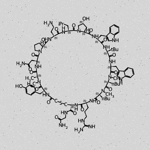 CCCC[C@H]1C(=O)N(C)[C@@H](CCCC)C(=O)N[C@@H](CCCNC(=N)N)C(=O)N[C@H](C(=O)NCC(N)=O)CSCC(=O)N[C@@H](Cc2ccc(O)cc2)C(=O)N(C)[C@@H](C)C(=O)N[C@@H](CC(N)=O)C(=O)N2CCC[C@H]2C(=O)N[C@@H](CCN)C(=O)N[C@@H](CC(C)C)C(=O)N2C[C@H](O)C[C@H]2C(=O)N[C@@H](Cc2c[nH]c3ccccc23)C(=O)N[C@@H](C(C)(C)C)C(=O)N[C@@H](Cc2c[nH]c3ccccc23)C(=O)N1C